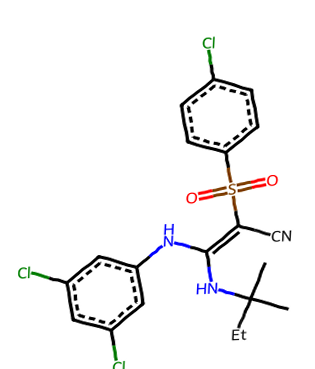 CCC(C)(C)NC(Nc1cc(Cl)cc(Cl)c1)=C(C#N)S(=O)(=O)c1ccc(Cl)cc1